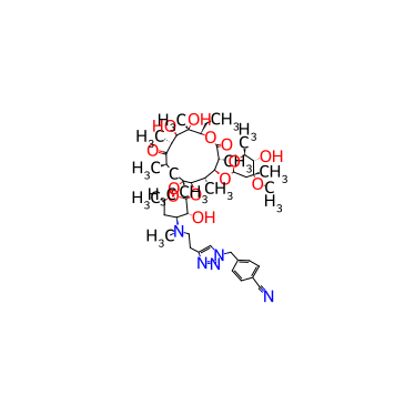 CC[C@H]1OC(=O)[C@H](C)[C@@H](O[C@H]2C[C@@](C)(OC)[C@@H](O)[C@H](C)O2)[C@H](C)[C@@H](O[C@@H]2O[C@H](C)C[C@H](N(C)CCc3cn(Cc4ccc(C#N)cc4)nn3)[C@H]2O)[C@](C)(OC)C[C@@H](C)C(=O)[C@H](C)[C@@H](O)[C@]1(C)O